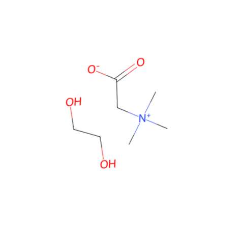 C[N+](C)(C)CC(=O)[O-].OCCO